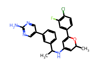 CC1C=C(NC(C)c2cccc(-c3cnc(N)nc3)c2)C=C(c2ccc(Cl)c(F)c2)O1